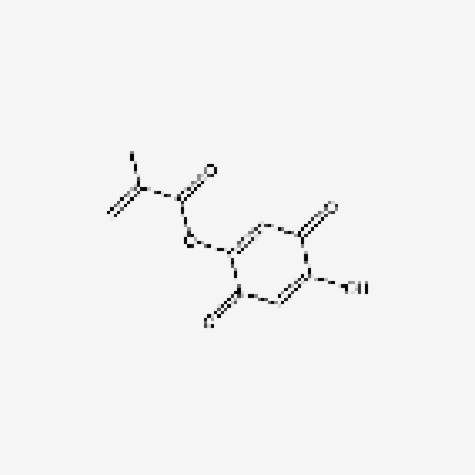 C=C(C)C(=O)OC1=CC(=O)C(O)=CC1=O